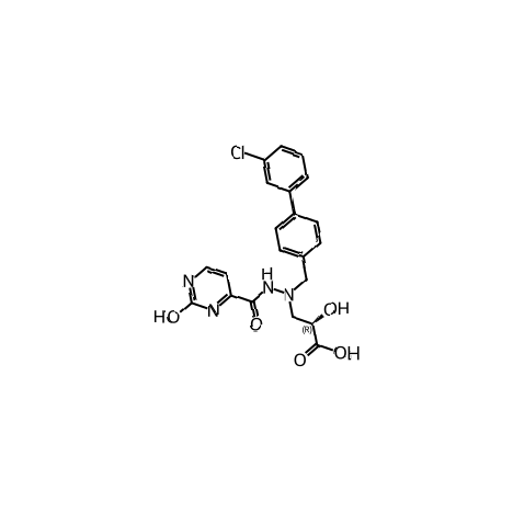 O=C(NN(Cc1ccc(-c2cccc(Cl)c2)cc1)C[C@@H](O)C(=O)O)c1ccnc(O)n1